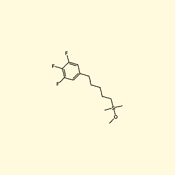 CO[Si](C)(C)CCCCCc1cc(F)c(F)c(F)c1